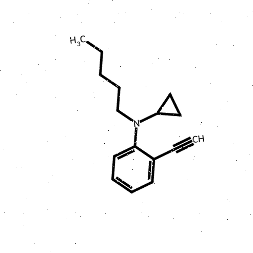 C#Cc1ccccc1N(CCCCC)C1CC1